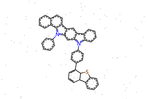 C1=CC2c3ccccc3SC2C(c2ccc(-n3c4ccccc4c4cc5c6ccc7ccccc7c6n(-c6ccccc6)c5cc43)cc2)=C1